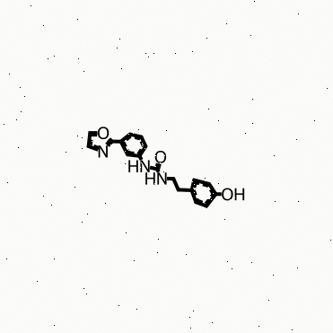 O=C(NCCc1ccc(O)cc1)Nc1cccc(-c2ncco2)c1